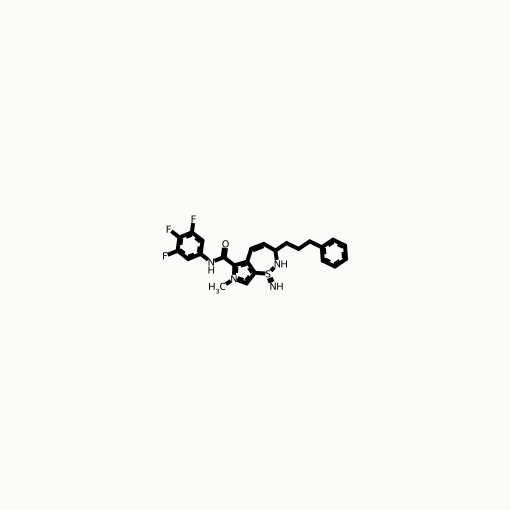 Cn1cc2c(c1C(=O)Nc1cc(F)c(F)c(F)c1)C=CC(CCCc1ccccc1)NS2=N